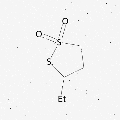 CCC1CCS(=O)(=O)S1